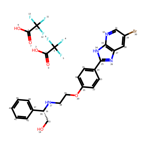 O=C(O)C(F)(F)F.O=C(O)C(F)(F)F.OC[C@@H](NCCOc1ccc(-c2nc3cc(Br)cnc3[nH]2)cc1)c1ccccc1